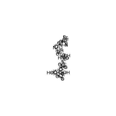 C[C@H](NC(=O)c1ccnc(CNC(=O)CCC(=O)NC(CSC2CC(=O)N(c3ccc(C4c5ccc(O)cc5OC5=CC(=O)C=CC54)c(C(=O)O)c3)C2=O)C(=O)O)c1)C(=O)N1CC(F)(F)C[C@H]1C#N